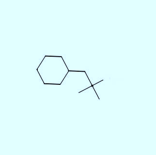 CC(C)(CC1CCCCC1)C(=O)O